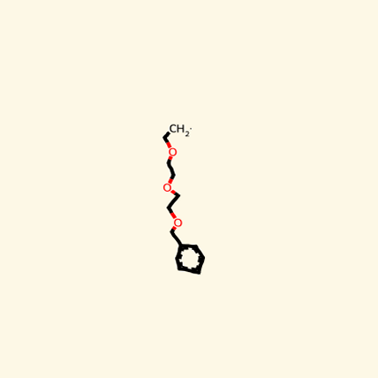 [CH2]COCCOCCOCc1ccccc1